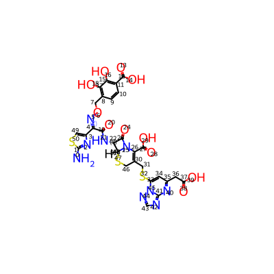 Nc1nc(/C(=N/OCc2ccc(C(=O)O)c(O)c2O)C(=O)N[C@@H]2C(=O)N3C(C(=O)O)=C(CSc4cc(CC(=O)O)nc5ncnn45)CS[C@H]23)cs1